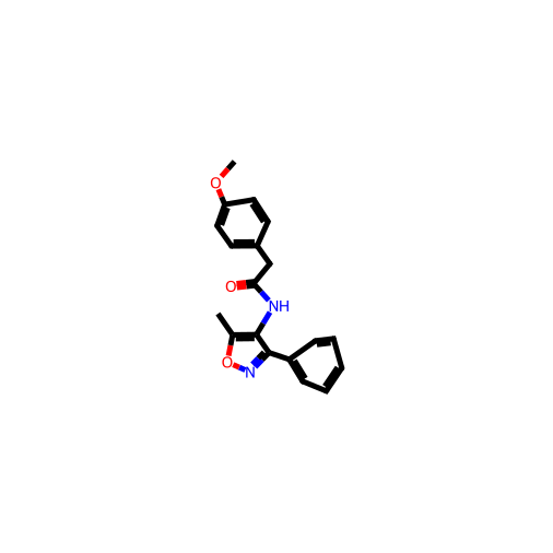 COc1ccc(CC(=O)Nc2c(-c3ccccc3)noc2C)cc1